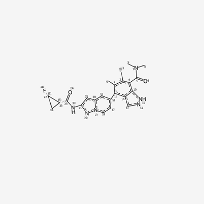 Cc1c(F)c(C(=O)N(C)C)c2[nH]ncc2c1-c1ccn2nc(NC(=O)[C@@H]3C[C@@H]3F)cc2c1